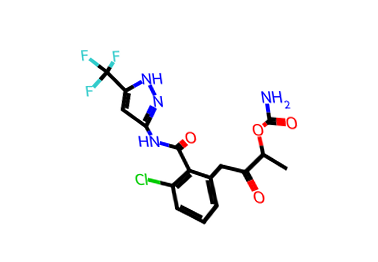 CC(OC(N)=O)C(=O)Cc1cccc(Cl)c1C(=O)Nc1cc(C(F)(F)F)[nH]n1